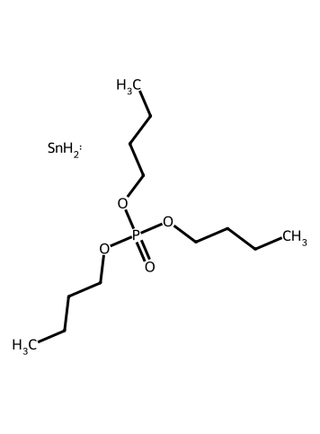 CCCCOP(=O)(OCCCC)OCCCC.[SnH2]